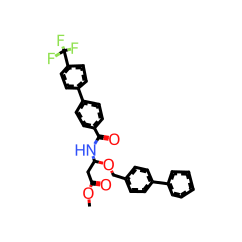 COC(=O)CC(NC(=O)c1ccc(-c2ccc(C(F)(F)F)cc2)cc1)OCc1ccc(-c2ccccc2)cc1